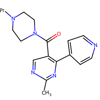 Cc1ncc(C(=O)N2CCN(C(C)C)CC2)c(-c2ccncc2)n1